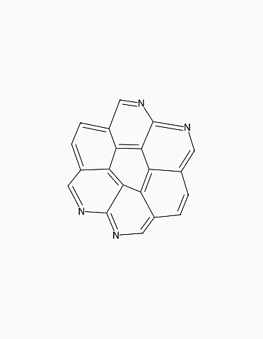 c1cc2cnc3ncc4ccc5cnc6ncc1c1c2c3c4c5c61